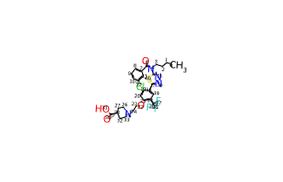 CCCCN(C(=O)c1cccc(Cl)c1)c1nnc(-c2ccc(OCCN3CCC(C(=O)O)CC3)c(C(F)(F)F)c2)s1